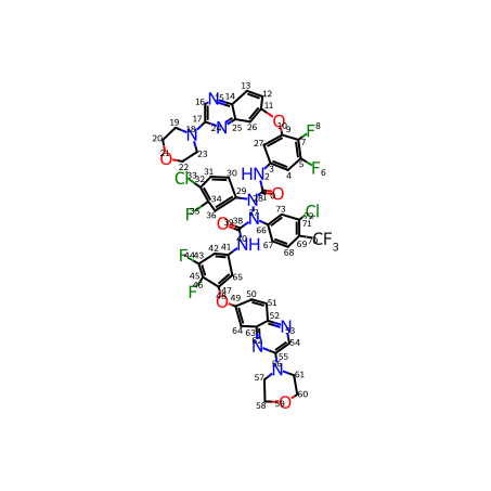 O=C(Nc1cc(F)c(F)c(Oc2ccc3ncc(N4CCOCC4)nc3c2)c1)N(c1ccc(Cl)c(F)c1)N(C(=O)Nc1cc(F)c(F)c(Oc2ccc3ncc(N4CCOCC4)nc3c2)c1)c1ccc(C(F)(F)F)c(Cl)c1